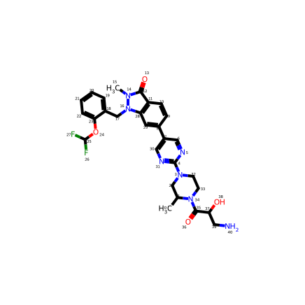 CC1CN(c2ncc(-c3ccc4c(=O)n(C)n(Cc5ccccc5OC(F)F)c4c3)cn2)CCN1C(=O)C(O)CN